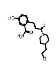 NC(=O)c1cc(O)ccc1C[CH]C(=O)N1CCC(CCCl)CC1